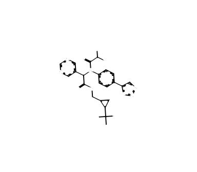 CC(F)(F)C1CC1CNC(=O)C(c1cncnc1)N(C(=O)C(F)Cl)c1ccc(-c2cnns2)cc1